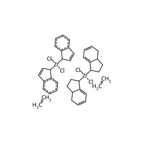 C=C.C=C.[Cl][Zr]([Cl])([CH]1C=Cc2ccccc21)[CH]1C=Cc2ccccc21.[Cl][Zr]([Cl])([CH]1CCC2CC=CC=C21)[CH]1CCC2CC=CC=C21